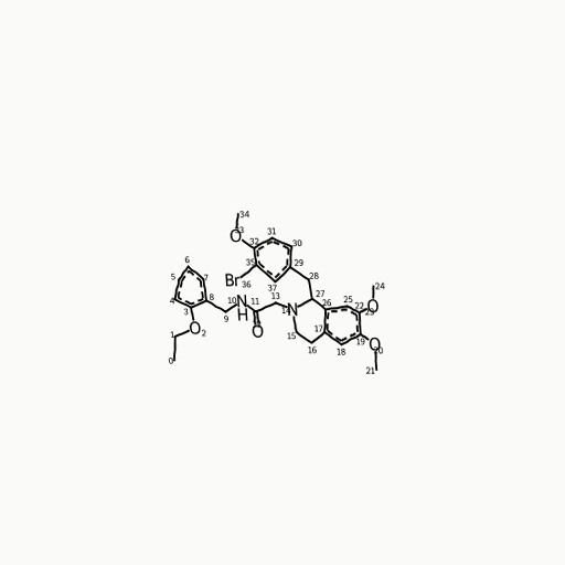 CCOc1ccccc1CNC(=O)CN1CCc2cc(OC)c(OC)cc2C1Cc1ccc(OC)c(Br)c1